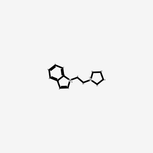 c1ccc2c(c1)ccn2CCN1CCCC1